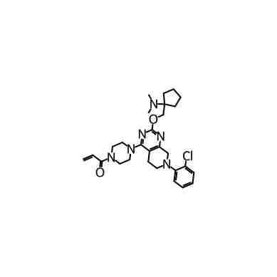 C=CC(=O)N1CCN(c2nc(OCC3(N(C)C)CCCC3)nc3c2CCN(c2ccccc2Cl)C3)CC1